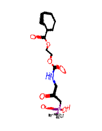 CCCCP(=O)(O)CC(=O)CNC(=O)OCCOC(=O)C1CCCCC1